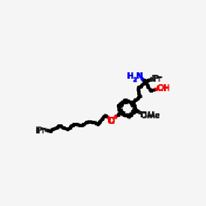 COc1cc(OCCCCCCCCC(C)C)ccc1CCC(N)(CO)C(C)C